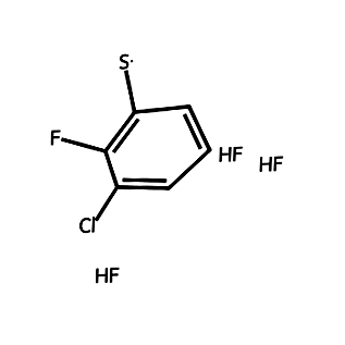 F.F.F.Fc1c([S])cccc1Cl